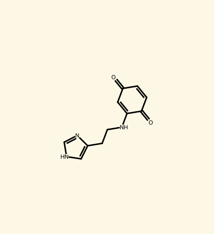 O=C1C=CC(=O)C(NCCc2c[nH]cn2)=C1